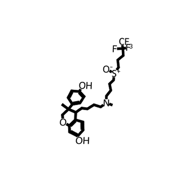 CN(CCCCC1c2ccc(O)cc2OCC1(C)c1ccc(O)cc1)CCCC[S+]([O-])CCCC(F)(F)C(F)(F)F